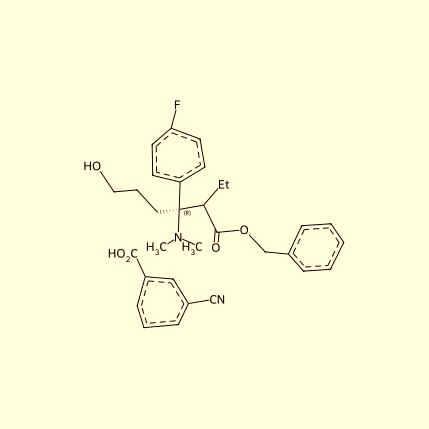 CCC(C(=O)OCc1ccccc1)[C@](CCCO)(c1ccc(F)cc1)N(C)C.N#Cc1cccc(C(=O)O)c1